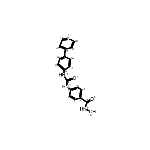 O=C(Nc1ccc(C(=O)NO)cc1)Nc1ccc(-c2ccncc2)cc1